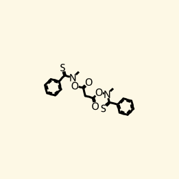 CN(OC(=O)CC(=O)ON(C)C(=S)c1ccccc1)C(=S)c1ccccc1